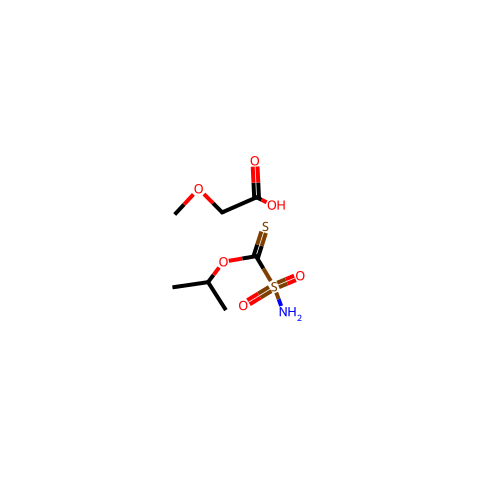 CC(C)OC(=S)S(N)(=O)=O.COCC(=O)O